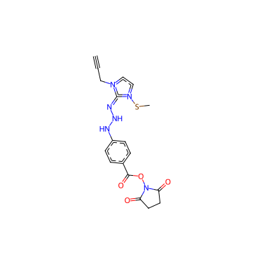 C#CCn1ccn(SC)/c1=N\NNc1ccc(C(=O)ON2C(=O)CCC2=O)cc1